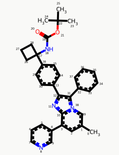 Cc1cc(-c2cccnc2)c2nc(-c3ccc(C4(NC(=O)OC(C)(C)C)CCC4)cc3)c(-c3ccccc3)n2c1